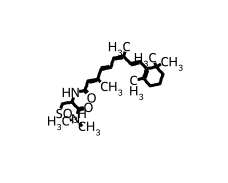 CC1=C(/C=C/C(C)=C\C=C\C(C)=C\C(=O)NC(CS(=O)(=O)O)C(=O)N(C)C)C(C)(C)CCC1